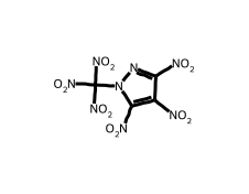 O=[N+]([O-])c1nn(C([N+](=O)[O-])([N+](=O)[O-])[N+](=O)[O-])c([N+](=O)[O-])c1[N+](=O)[O-]